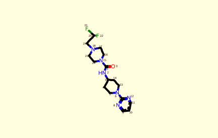 O=C(NC1CCN(c2ncccn2)CC1)N1CCN(CC(F)F)CC1